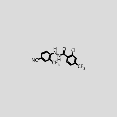 N#Cc1ccc(NNC(=O)c2ccc(C(F)(F)F)cc2Cl)c(C(F)(F)F)c1